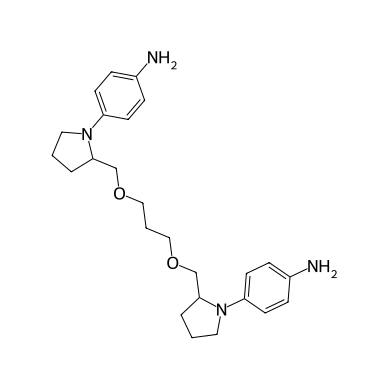 Nc1ccc(N2CCCC2COCCCOCC2CCCN2c2ccc(N)cc2)cc1